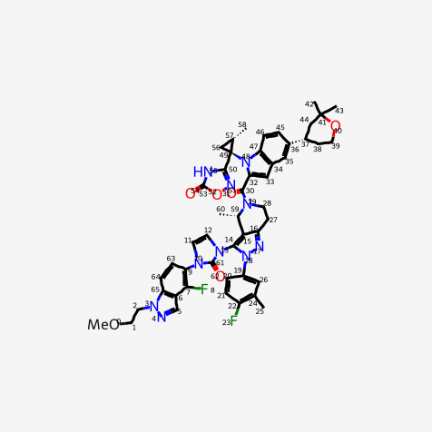 COCCn1ncc2c(F)c(-n3ccn(-c4c5c(nn4-c4ccc(F)c(C)c4)CCN(C(=O)c4cc6cc([C@H]7CCOC(C)(C)C7)ccc6n4[C@@]4(c6noc(=O)[nH]6)C[C@@H]4C)[C@H]5C)c3=O)ccc21